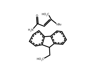 CCCCC(=CC(N)=O)C(=O)O.O=C(O)CC1c2ccccc2-c2ccccc21